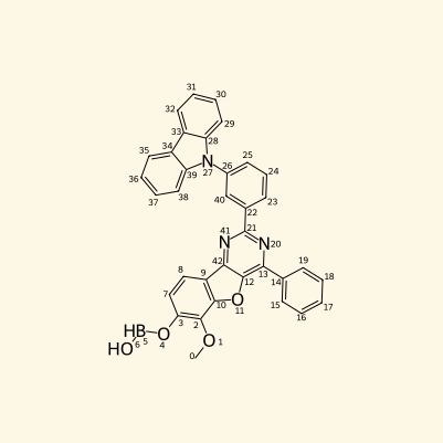 COc1c(OBO)ccc2c1oc1c(-c3ccccc3)nc(-c3cccc(-n4c5ccccc5c5ccccc54)c3)nc12